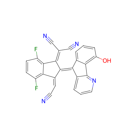 N#C/C=C1/C(=C2\c3cccnc3-c3c(O)cccc32)C(=C(C#N)C#N)c2c(F)ccc(F)c21